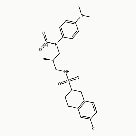 C[C@H](CNS(=O)(=O)C1CCc2cc(Cl)ccc2C1)CN(c1ccc(N(C)C)cc1)[SH](=O)=O